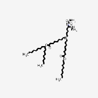 CCCCCCCCCOC(=O)CCCCCCCN(CCCCCCCC(=O)OC(CCCCCCCC)CCCCCCCC)CCCC/C(=N/S(N)(=O)=O)NC